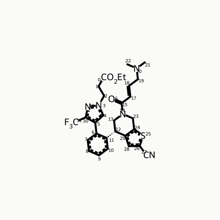 CCOC(=O)CCn1cc(-c2ccccc2[C@@H]2CN(C(=O)/C=C/CN(C)C)Cc3sc(C#N)cc32)c(C(F)(F)F)n1